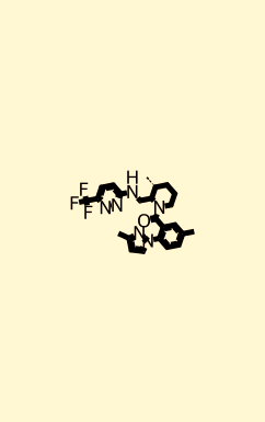 Cc1ccc(-n2ccc(C)n2)c(C(=O)N2CCC[C@@H](C)C2CNc2ccc(C(F)(F)F)nn2)c1